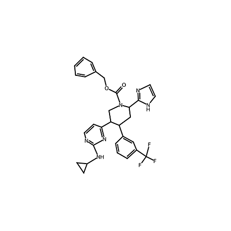 O=C(OCc1ccccc1)N1CC(c2ccnc(NC3CC3)n2)C(c2cccc(C(F)(F)F)c2)CC1c1ncc[nH]1